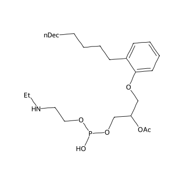 CCCCCCCCCCCCCCc1ccccc1OCC(COP(O)OCCNCC)OC(C)=O